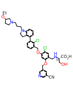 CCOC1CCN(CCCN2CCc3c(-c4cccc(COc5cc(OCc6cncc(C#N)c6)c(CN[C@@H](CO)C(=O)O)cc5Cl)c4Cl)cccc32)C1